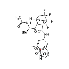 CC(C)(C)[C@@H](NC(=O)C(F)(F)F)C(=O)N1[C@H]2CC[C@@H]([C@H]1C(=O)N[C@@H](/C=C(/F)S(C)(=O)=O)C[C@H]1CCNC1=O)C(F)(F)C2